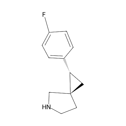 Fc1ccc([C@@H]2C[C@]23CCNC3)cc1